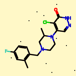 Cc1cc(F)ccc1CN1CCN(c2cn[nH]c(=O)c2Cl)C(C)C1